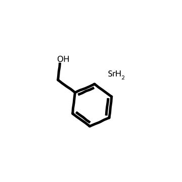 OCc1ccccc1.[SrH2]